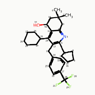 CC1(C)Cc2nc(C3CCCC3)c(Cc3ccc(C(F)(F)F)cc3)c(C3CCCCC3)c2C(O)C1